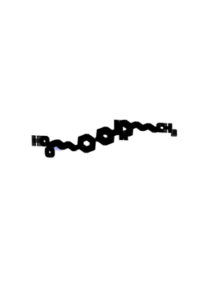 CCCCCc1cnc(-c2ccc([C@H]3CC[C@H](CC/C=C/C(=O)O)CC3)cc2)nc1